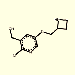 OCc1cc(OCC2CCN2)cnc1Cl